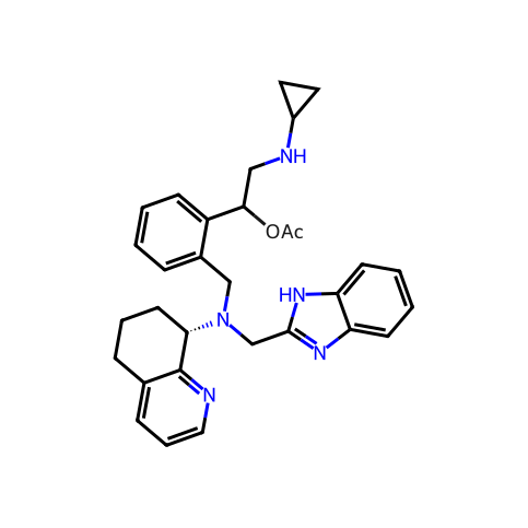 CC(=O)OC(CNC1CC1)c1ccccc1CN(Cc1nc2ccccc2[nH]1)[C@H]1CCCc2cccnc21